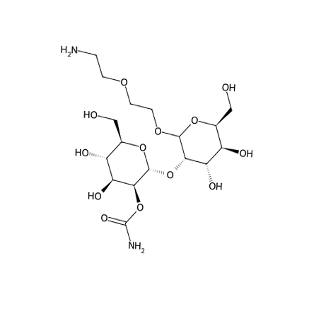 NCCOCCOC1O[C@@H](CO)[C@@H](O)[C@H](O)[C@@H]1O[C@H]1O[C@H](CO)[C@@H](O)[C@H](O)[C@@H]1OC(N)=O